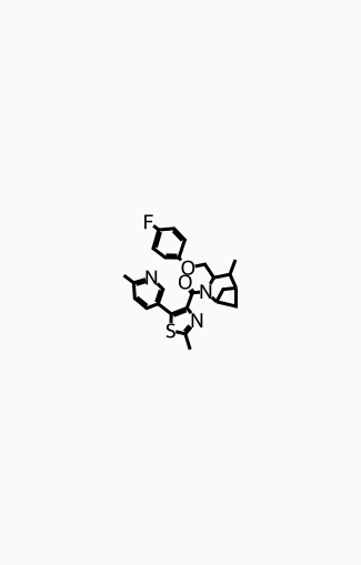 Cc1ccc(-c2sc(C)nc2C(=O)N2C3CC(C3)C(C)C2COc2ccc(F)cc2)cn1